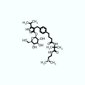 CC(C)c1[nH]nc(O[C@@H]2O[C@H](CO)[C@@H](O)[C@H](O)[C@H]2O)c1Cc1ccc(CCCC(=O)NC(C)(C)C(=O)NCCN(C)C)cc1